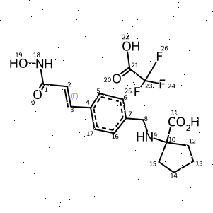 O=C(/C=C/c1ccc(CNC2(C(=O)O)CCCC2)cc1)NO.O=C(O)C(F)(F)F